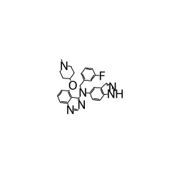 CN1CCC(Oc2cccc3ncnc(N(Cc4cccc(F)c4)c4ccc5[nH]ncc5c4)c23)CC1